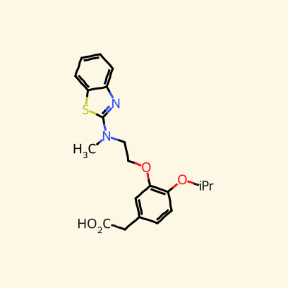 CC(C)Oc1ccc(CC(=O)O)cc1OCCN(C)c1nc2ccccc2s1